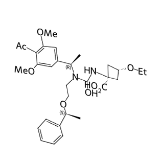 CCO[C@H]1C[C@@](NC(O)N(CCO[C@@H](C)c2ccccc2)[C@H](C)c2cc(OC)c(C(C)=O)c(OC)c2)(C(=O)O)C1